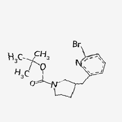 CC(C)(C)OC(=O)N1CCC(Cc2cccc(Br)n2)C1